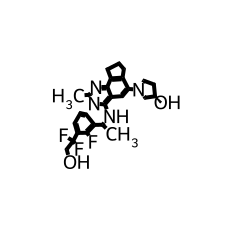 Cc1nc(NC(C)c2cccc(C(F)(F)CO)c2F)c2cc(N3CC[C@@H](O)C3)c3c(c2n1)CCC3